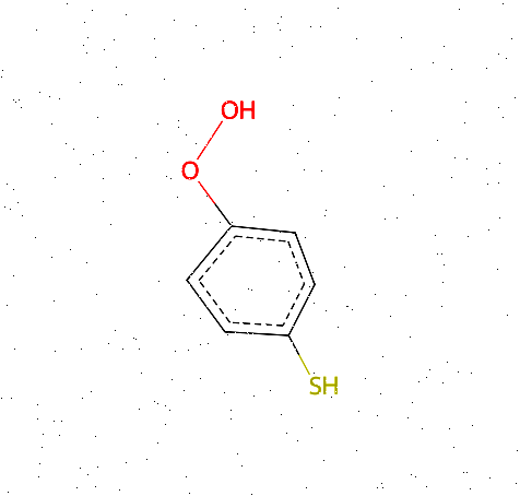 OOc1ccc(S)cc1